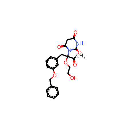 CC(=O)C(Cc1cccc(OCc2ccccc2)c1)(OCCO)N1C(=O)CC(=O)NC1=O